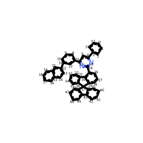 c1ccc(-c2cc(-c3cccc(-c4ccc5ccccc5c4)c3)nc(-c3cccc4c3-c3ccccc3C43c4ccccc4-c4ccccc43)n2)cc1